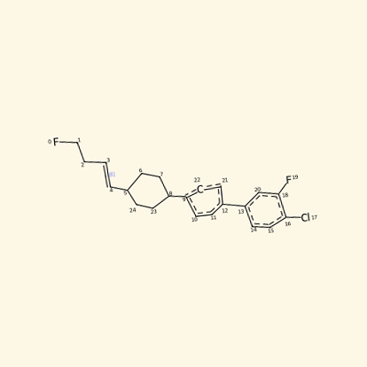 FCC/C=C/C1CCC(c2ccc(-c3ccc(Cl)c(F)c3)cc2)CC1